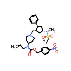 C=CCN(C(=O)OCc1ccc([N+](=O)[O-])cc1)C1CCN(C[C@H]2C[C@@H](N(C)S(C)(=O)=O)C[C@@H]2c2ccccc2)CC1